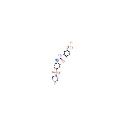 CN1CCN(S(=O)(=O)c2ccc(NC(=O)Nc3cccc(OC(F)F)c3)cc2)CC1